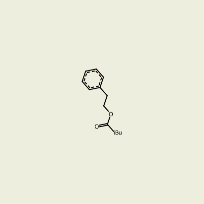 CCC(C)C(=O)OCCc1ccccc1